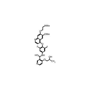 CNCCOc1cc2nccc(Oc3c(F)cc(NC(O)c4cnccc4OC[C@H](C)O)cc3F)c2cc1OC